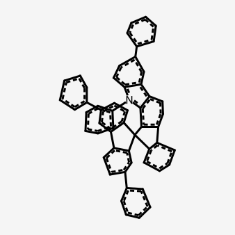 c1ccc(-c2ccc3c(c2)-c2ccc(-c4ccccc4)cc2C32c3ccccc3-c3ccc4c5cc(-c6ccccc6)ccc5n(-c5ccccc5)c4c32)cc1